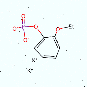 CCOc1ccccc1OP(=O)([O-])[O-].[K+].[K+]